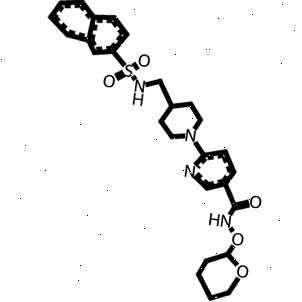 O=C(NOC1CCCCO1)c1ccc(N2CCC(CNS(=O)(=O)c3ccc4ccccc4c3)CC2)nc1